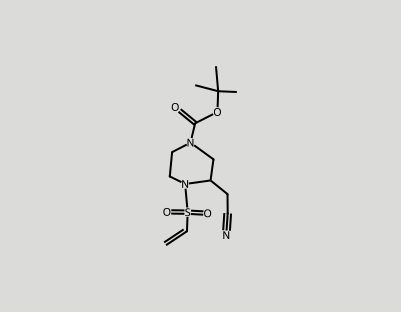 C=CS(=O)(=O)N1CCN(C(=O)OC(C)(C)C)CC1CC#N